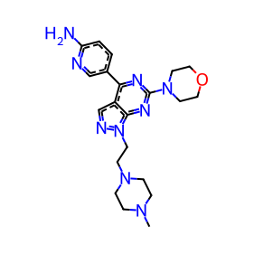 CN1CCN(CCn2ncc3c(-c4ccc(N)nc4)nc(N4CCOCC4)nc32)CC1